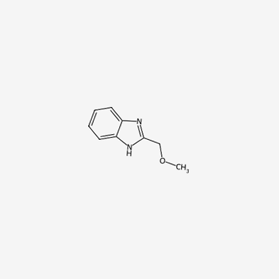 COCc1nc2ccccc2[nH]1